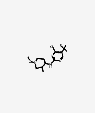 CSN1CCC(Nc2ncc(C(F)(F)F)c(Cl)n2)C(C)C1